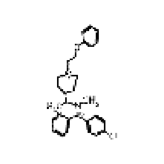 CC(C1CCN(CCOc2ccccc2)CC1)N(C)[C@H](c1ccc(Cl)cc1)c1ccccn1